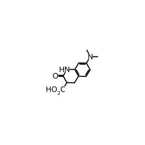 CN(C)c1ccc2c(c1)NC(=O)C(C(=O)O)C2